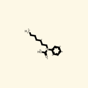 CCCCCCCN(C(=O)O)c1ccccc1